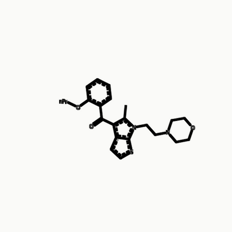 CCCOc1ccccc1C(=O)c1c(C)n(CCN2CCOCC2)c2sccc12